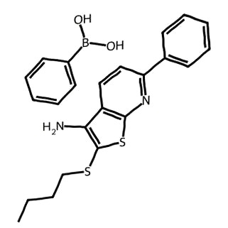 CCCCSc1sc2nc(-c3ccccc3)ccc2c1N.OB(O)c1ccccc1